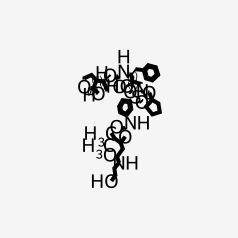 CC(C)C(CC(=O)NCCO)OC(=O)Nc1cccc(S(=O)(=O)N(C[C@@H](O)[C@H](Cc2ccccc2)NC(=O)O[C@H]2CO[C@H]3OCC[C@H]32)OC2CCCC2)c1